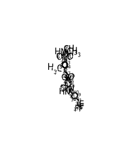 Cc1cc(N2C(=O)NC(C)(C)C2=O)ccc1C=CS(=O)(=O)N1CCC2(CC1)N=C(C1CCC(CCC(F)(F)F)CC1)NC2=O